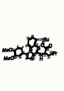 COc1ccc(-c2cnc3c(NC(CC(C)C)C(=O)OC(C)(C)C)nc4ccccc4n23)cc1OC